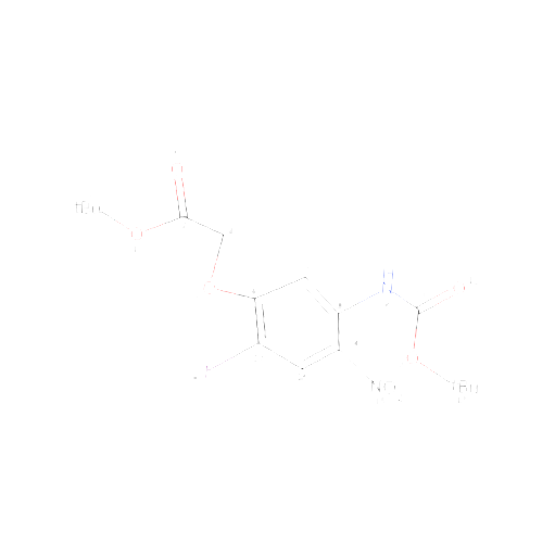 CC(C)(C)OC(=O)COc1cc(NC(=O)OC(C)(C)C)c([N+](=O)[O-])cc1I